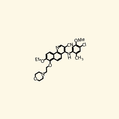 CCOc1ccc2c(ccc3c(Nc4cc(OC)c(Cl)cc4C)c(C#N)cnc32)c1OCCN1CCOCC1